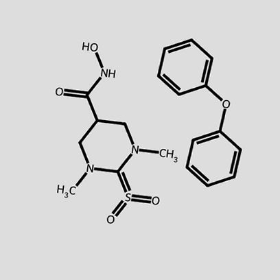 CN1CC(C(=O)NO)CN(C)C1=S(=O)=O.c1ccc(Oc2ccccc2)cc1